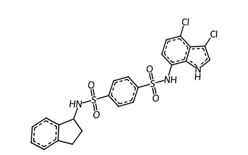 O=S(=O)(Nc1ccc(Cl)c2c(Cl)c[nH]c12)c1ccc(S(=O)(=O)NC2CCc3ccccc32)cc1